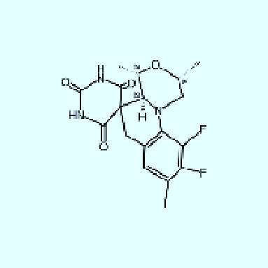 C[C@@H]1CN2c3c(cc(I)c(F)c3F)CC3(C(=O)NC(=O)NC3=O)[C@H]2[C@H](C)O1